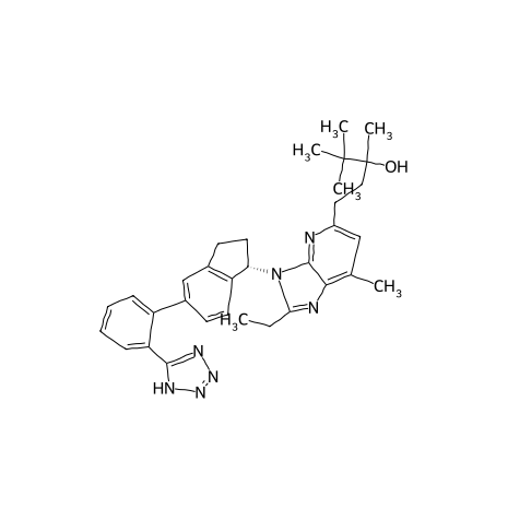 CCc1nc2c(C)cc(CCC(C)(O)C(C)(C)C)nc2n1[C@H]1CCc2cc(-c3ccccc3-c3nnn[nH]3)ccc21